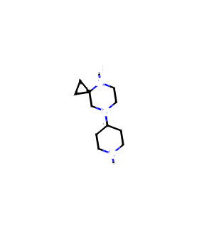 CN1CCC(N2CCN(C)C3(CC3)C2)CC1